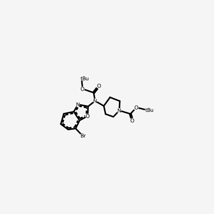 CC(C)(C)OC(=O)N1CCC(N(C(=O)OC(C)(C)C)c2nc3cccc(Br)c3o2)CC1